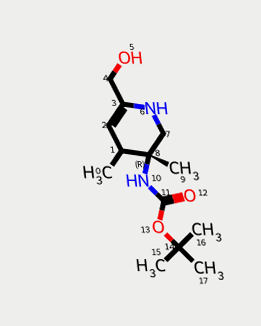 CC1C=C(CO)NC[C@]1(C)NC(=O)OC(C)(C)C